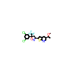 C=C(OC)c1cnc2sc(C3=NOC(c4cc(Cl)cc(Cl)c4)(C(F)(F)F)C3)cc2c1